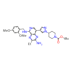 CCc1nc2c(NCc3ccc(OC)cc3OC)ncc(-c3cnn(C4CCN(C(=O)OC(C)(C)C)CC4)c3)c2nc1N